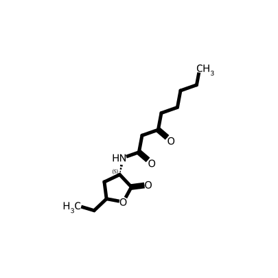 CCCCCC(=O)CC(=O)N[C@H]1CC(CC)OC1=O